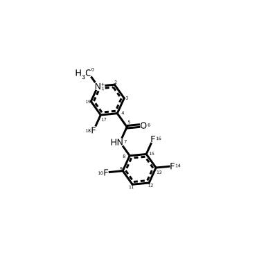 C[n+]1ccc(C(=O)Nc2c(F)ccc(F)c2F)c(F)c1